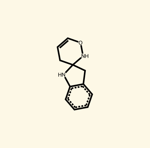 C1=CONC2(C1)Cc1ccccc1N2